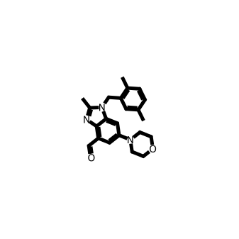 Cc1ccc(C)c(Cn2c(C)nc3c(C=O)cc(N4CCOCC4)cc32)c1